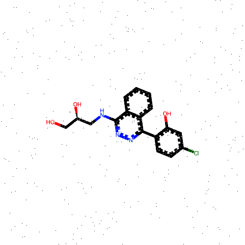 OC[C@@H](O)CNc1nnc(-c2ccc(Cl)cc2O)c2ccccc12